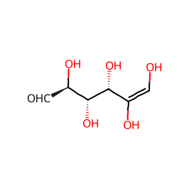 O=C[C@@H](O)[C@@H](O)[C@H](O)/C(O)=C\O